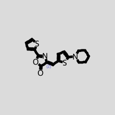 O=C1OC(c2cccs2)=N/C1=C\c1ccc(N2CCCCC2)s1